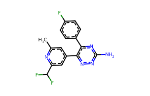 Cc1cc(-c2nnc(N)nc2-c2ccc(F)cc2)cc(C(F)F)n1